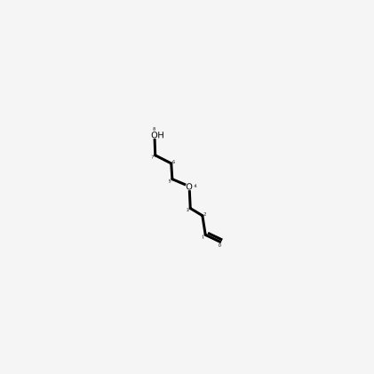 C=CCCOCCCO